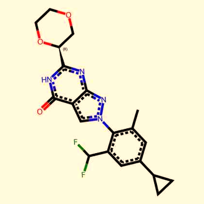 Cc1cc(C2CC2)cc(C(F)F)c1-n1cc2c(=O)[nH]c([C@@H]3COCCO3)nc2n1